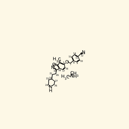 CNC.Cc1c(OCc2ccc(C#N)cc2)ccc2c(CCC3CCNCC3)noc12